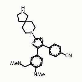 CNCc1cc(-c2sc(N3CCC4(CCNC4)CC3)nc2-c2ccc(C#N)cc2)ccc1NC